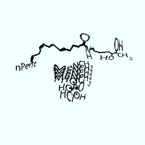 CCCCC/C=C\C/C=C\CCCCCCCC(=O)NCCCC(O)C(C)O.CNC.CNC.CNC.CNC.Cl.O=P(O)(O)O